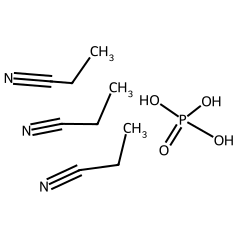 CCC#N.CCC#N.CCC#N.O=P(O)(O)O